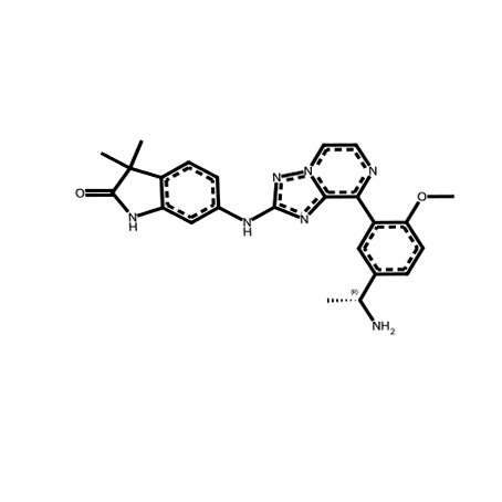 COc1ccc([C@@H](C)N)cc1-c1nccn2nc(Nc3ccc4c(c3)NC(=O)C4(C)C)nc12